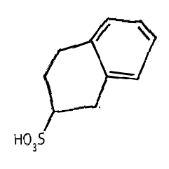 O=S(=O)(O)C1[CH]c2ccccc2CC1